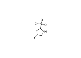 O=S(=O)(Cl)C1CC(I)CN1